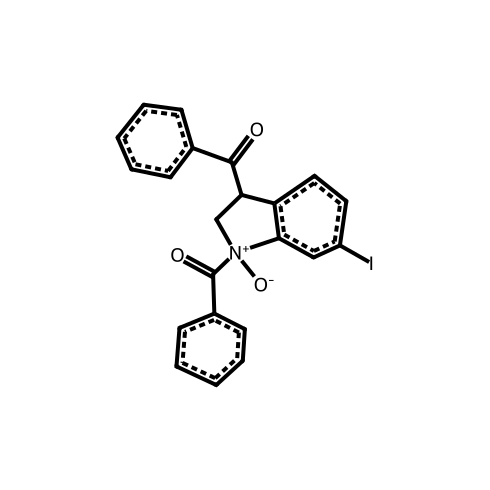 O=C(c1ccccc1)C1C[N+]([O-])(C(=O)c2ccccc2)c2cc(I)ccc21